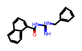 N=C(NCc1ccccc1)NC(=O)c1cccc2ccccc12